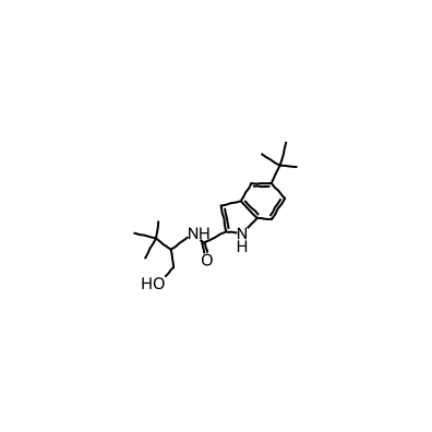 CC(C)(C)c1ccc2[nH]c(C(=O)NC(CO)C(C)(C)C)cc2c1